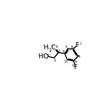 C=C(CO)c1cc(F)cc(F)c1